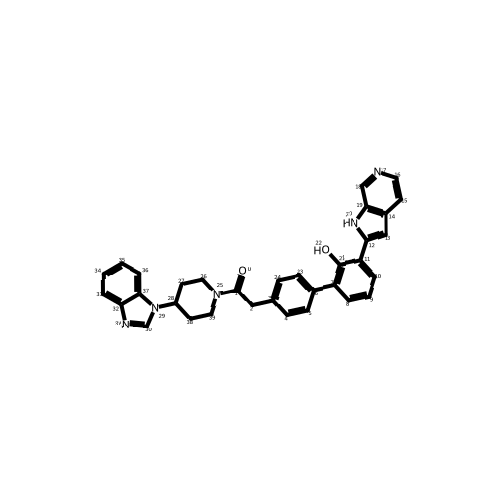 O=C(Cc1ccc(-c2cccc(-c3cc4ccncc4[nH]3)c2O)cc1)N1CCC(n2cnc3ccccc32)CC1